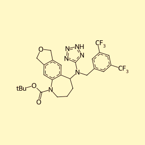 CC(C)(C)OC(=O)N1CCCC(N(Cc2cc(C(F)(F)F)cc(C(F)(F)F)c2)c2nn[nH]n2)c2cc3c(cc21)COC3